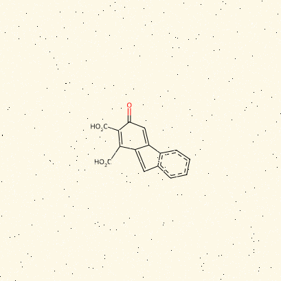 O=C(O)C1=C(C(=O)O)C2=Cc3ccccc3C2=CC1=O